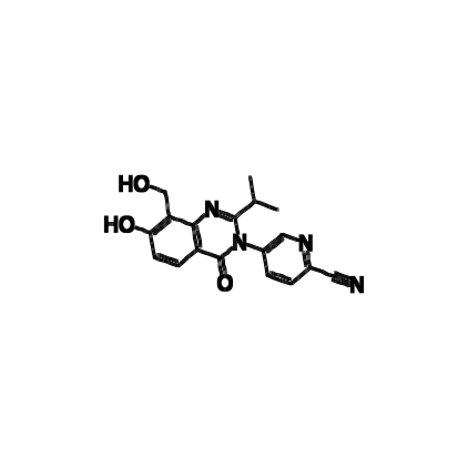 CC(C)c1nc2c(CO)c(O)ccc2c(=O)n1-c1ccc(C#N)nc1